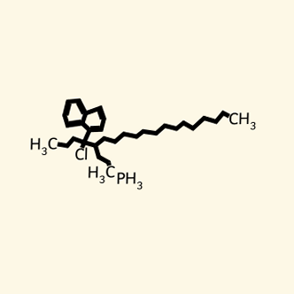 CCCCCCCCCCCCCCC(CCC)C(Cl)(CCC)c1cccc2ccccc12.P